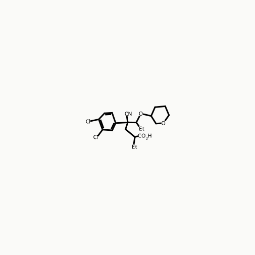 CCC(CC(C#N)(c1ccc(Cl)c(Cl)c1)C(CC)OC1CCCOC1)C(=O)O